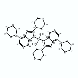 C[Si](C)(C1C(C2CCCCC2)=Cc2c(C3CCCCC3)cccc21)C1C(C2CCCCC2)=Cc2c(C3CCCCC3)cccc21